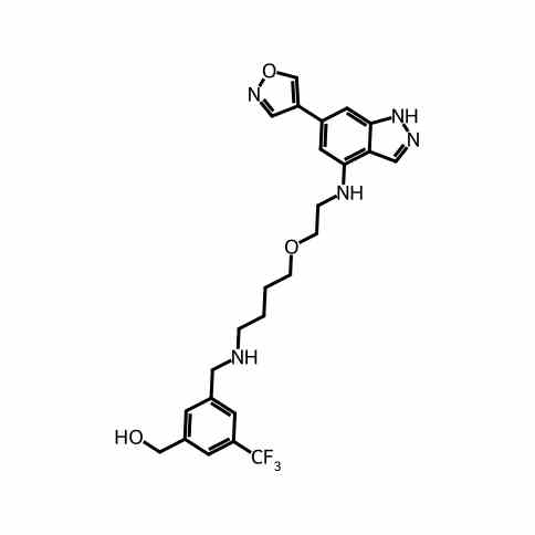 OCc1cc(CNCCCCOCCNc2cc(-c3cnoc3)cc3[nH]ncc23)cc(C(F)(F)F)c1